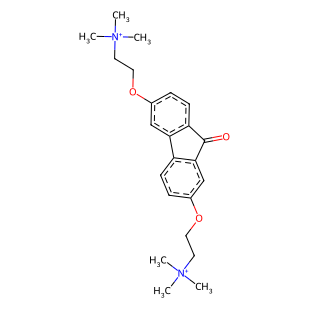 C[N+](C)(C)CCOc1ccc2c(c1)C(=O)c1ccc(OCC[N+](C)(C)C)cc1-2